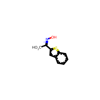 O=C(O)/C(=N/O)c1cc2ccccc2s1